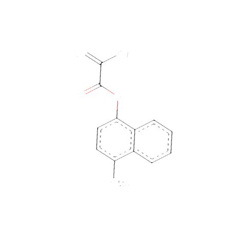 C=C(C)C(=O)Oc1ccc(OC)c2ccccc12